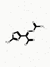 CC(=O)ON=C(C(=O)Cl)c1csc(N)n1